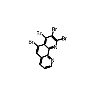 Brc1nc2c(c(Br)cc3cccnc32)c(Br)c1Br